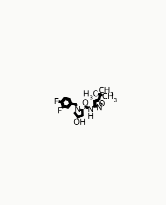 CC(C)(C)c1cc(NC(=O)[C@@H]2C[C@@H](O)CN2Cc2ccc(F)c(F)c2)no1